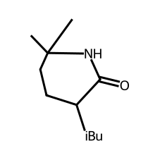 CCC(C)C1CCC(C)(C)NC1=O